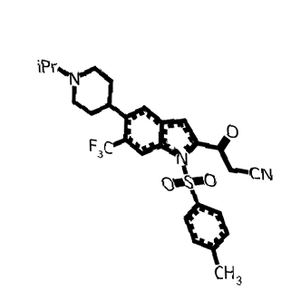 Cc1ccc(S(=O)(=O)n2c(C(=O)CC#N)cc3cc(C4CCN(C(C)C)CC4)c(C(F)(F)F)cc32)cc1